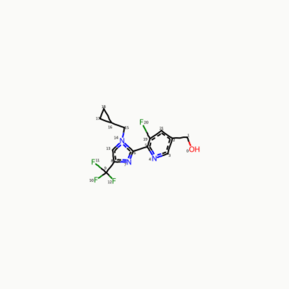 OCc1cnc(-c2nc(C(F)(F)F)cn2CC2CC2)c(F)c1